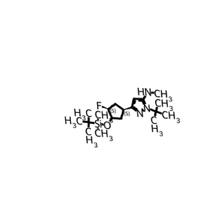 CNc1cc([C@H]2CC(O[Si](C)(C)C(C)(C)C)[C@@H](F)C2)nn1C(C)(C)C